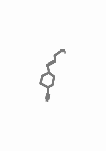 CCC=NC1CCC(C#N)CC1